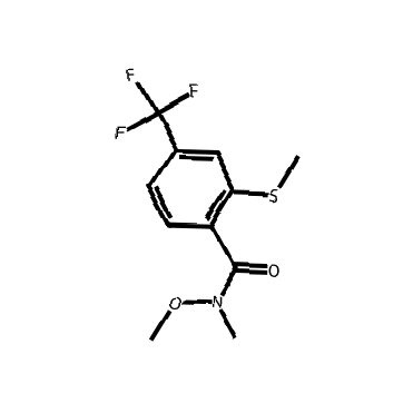 CON(C)C(=O)c1ccc(C(F)(F)F)cc1SC